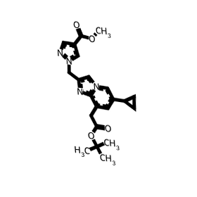 COC(=O)c1cnn(Cc2cn3cc(C4CC4)cc(CC(=O)OC(C)(C)C)c3n2)c1